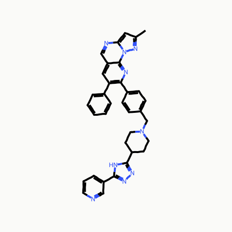 Cc1cc2ncc3cc(-c4ccccc4)c(-c4ccc(CN5CCC(c6nnc(-c7cccnc7)[nH]6)CC5)cc4)nc3n2n1